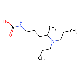 CCCN(CCC)C(C)CCCNC(=O)O